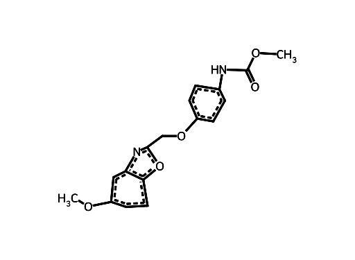 COC(=O)Nc1ccc(OCc2nc3cc(OC)ccc3o2)cc1